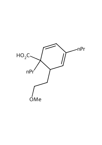 CCCC1=CC(CCOC)C(CCC)(C(=O)O)C=C1